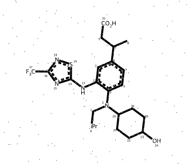 CC(C)CN(c1ccc(C(C)CC(=O)O)cc1Nc1nc(C(F)(F)F)ns1)C1CCC(O)CC1